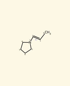 C/C=C/N1CCCC1